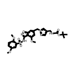 COc1ccc(OC)c(S(=O)(=O)Nc2noc3cc(Cn4cc(CNC(=O)OC(C)(C)C)cn4)cc(OC)c23)c1